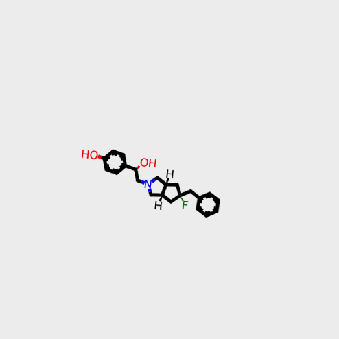 Oc1ccc([C@@H](O)CN2C[C@@H]3C[C@@](F)(Cc4ccccc4)C[C@@H]3C2)cc1